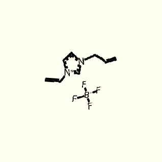 C=CCn1cc[n+](C=C)c1.F[B-](F)(F)F